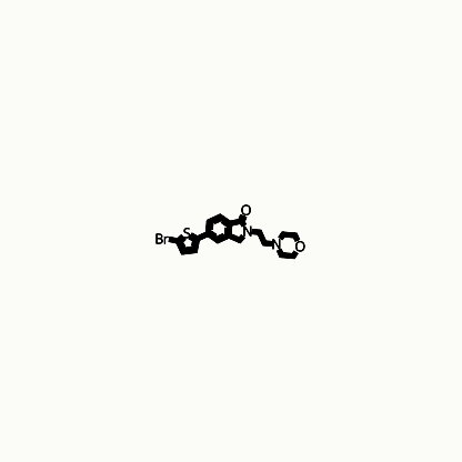 O=C1c2ccc(-c3ccc(Br)s3)cc2CN1CCN1CCOCC1